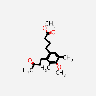 COC(=O)CCCc1cc(C)c(OC)c(C)c1CCC(C)=O